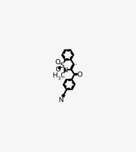 CN1C(C(=O)c2ccc(C#N)cc2)=[C]c2ccccc2S1(=O)=O